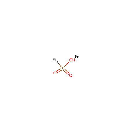 CCS(=O)(=O)O.[Fe]